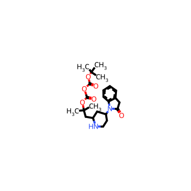 CC(C)(C)OC(=O)OC(=O)OC(C)(C)CC1CC(N2C(=O)Cc3ccccc32)CCN1